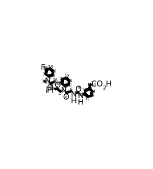 CC(C)CCN(C(=O)CNC(=O)Nc1cccc(CC(=O)O)c1)c1ccccc1OCC(=O)N(C)c1cccc(F)c1